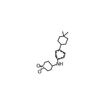 CC1(C)CCC(c2ccc(NC3CCS(=O)(=O)CC3)cc2)CC1